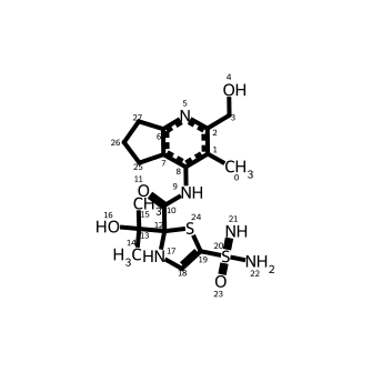 Cc1c(CO)nc2c(c1NC(=O)C1(C(C)(C)O)NC=C(S(=N)(N)=O)S1)CCC2